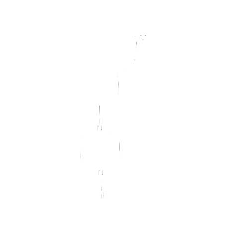 CSOCCCN1CCN(C(C)C)CC1